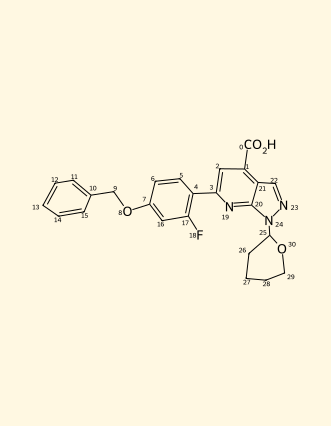 O=C(O)c1cc(-c2ccc(OCc3ccccc3)cc2F)nc2c1cnn2C1CCCCO1